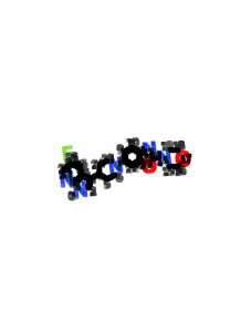 Cn1cc(C2CCN(c3ccc4nc(N5CCOCC5)oc4c3)CC2)c2cc(F)cnc21